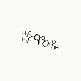 CC(C)c1ccc(O[C@H]2CCC[C@H](C(=O)O)C2)c(F)c1